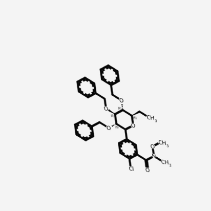 CC[C@H]1OC(c2ccc(Cl)c(C(=O)N(C)OC)c2)[C@H](OCc2ccccc2)[C@@H](OCc2ccccc2)[C@@H]1OCc1ccccc1